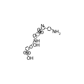 NCc1ccc(-c2cncc(S(=O)(=O)N3CCC4(CC3)CC(NCC(O)COc3cccc(S(=O)(=O)CCO)c3)CO4)c2)cc1